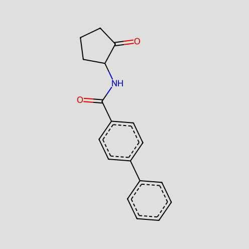 O=C(NC1CCCC1=O)c1ccc(-c2ccccc2)cc1